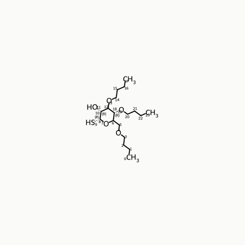 CCCCOCC1O[C@H](S)[C@H](O)C(OCCCC)[C@@H]1OCCCC